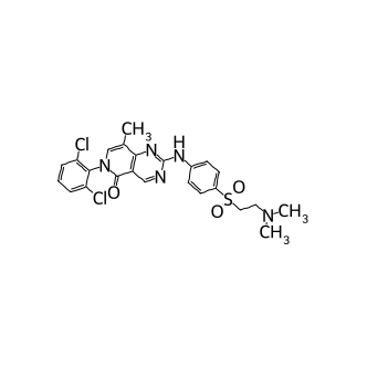 Cc1cn(-c2c(Cl)cccc2Cl)c(=O)c2cnc(Nc3ccc(S(=O)(=O)CCN(C)C)cc3)nc12